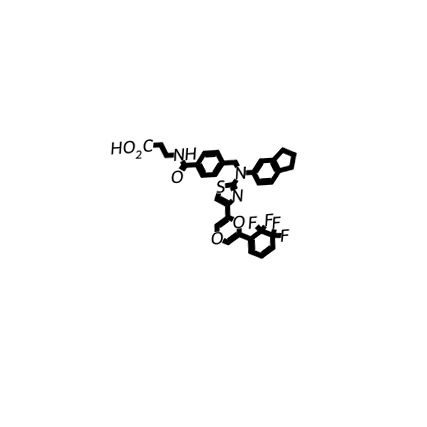 O=C(O)CCNC(=O)c1ccc(CN(c2ccc3c(c2)CCC3)c2nc(C3=COC=C(C4=CC=CC(F)(F)C4(F)F)O3)cs2)cc1